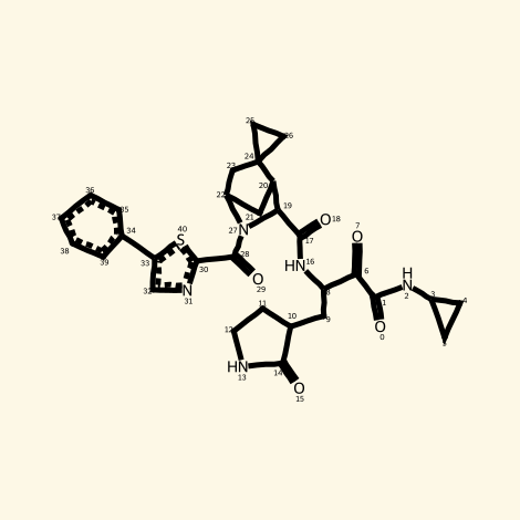 O=C(NC1CC1)C(=O)C(CC1CCNC1=O)NC(=O)C1C2CC(CC23CC3)N1C(=O)c1ncc(-c2ccccc2)s1